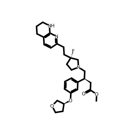 COC(=O)C[C@H](CN1CC[C@@](F)(CCc2ccc3c(n2)NCCC3)C1)c1cccc(O[C@H]2CCOC2)c1